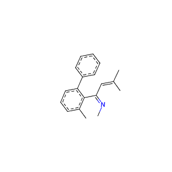 C/N=C(/C=C(C)C)c1c(C)cccc1-c1ccccc1